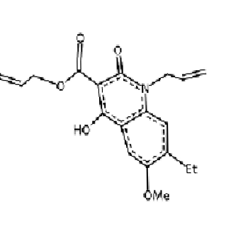 C=CCOC(=O)c1c(O)c2cc(OC)c(CC)cc2n(CC=C)c1=O